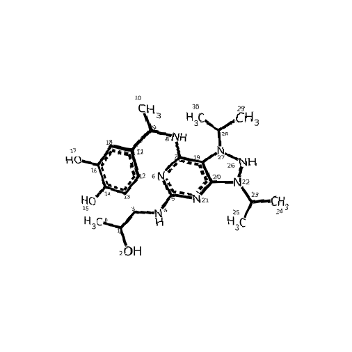 CC(O)CNc1nc(NC(C)c2ccc(O)c(O)c2)c2c(n1)N(C(C)C)NN2C(C)C